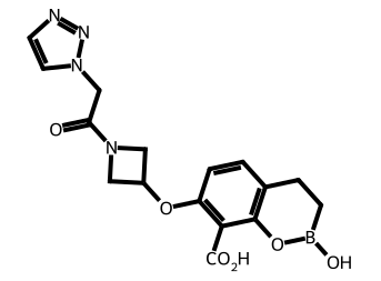 O=C(O)c1c(OC2CN(C(=O)Cn3ccnn3)C2)ccc2c1OB(O)CC2